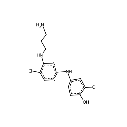 NCCCNc1nc(Nc2ccc(O)c(O)c2)ncc1Cl